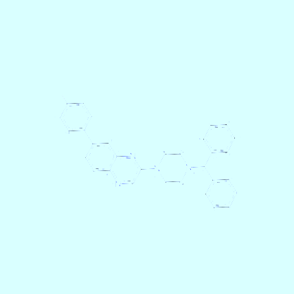 Oc1ccc(-c2ccc3ncc(N4CCN(C(c5ccccc5)c5ccccc5)CC4)nc3c2)cc1